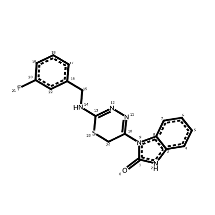 O=c1[nH]c2ccccc2n1C1=NN=C(NCc2cccc(F)c2)SC1